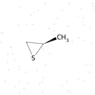 C[C@@H]1CS1